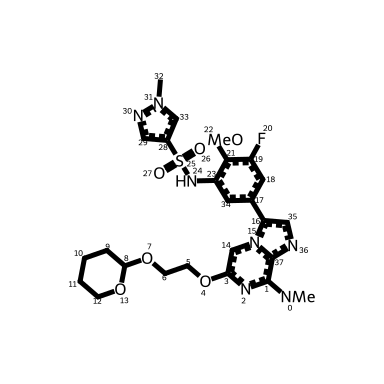 CNc1nc(OCCOC2CCCCO2)cn2c(-c3cc(F)c(OC)c(NS(=O)(=O)c4cnn(C)c4)c3)cnc12